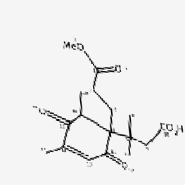 COC(=O)CCC1(C(C)(C)CC(=O)O)C(=O)C=C(C)C(=O)C1C